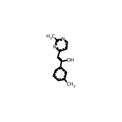 Cc1cccc(/C(O)=C/c2ccnc(C)n2)c1